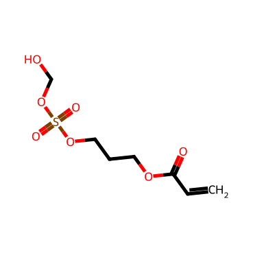 C=CC(=O)OCCCOS(=O)(=O)OCO